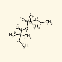 CCCC(C)(C)C(=O)OC(=O)C(C)(C)CC